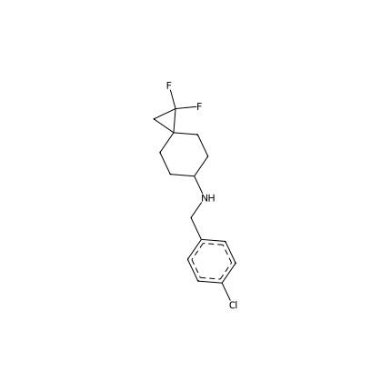 FC1(F)CC12CCC(NCc1ccc(Cl)cc1)CC2